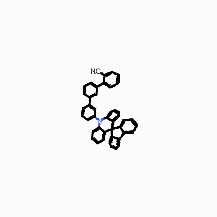 N#Cc1ccccc1-c1cccc(-c2cccc(N3c4ccccc4C4(c5ccccc5-c5ccccc54)c4ccccc43)c2)c1